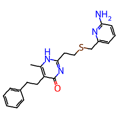 Cc1[nH]c(CCSCc2cccc(N)n2)nc(=O)c1CCc1ccccc1